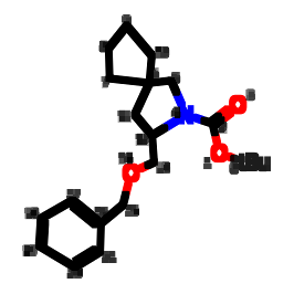 CC(C)(C)OC(=O)N1CC2(CCCC2)CC1COCc1ccccc1